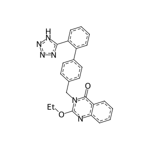 CCOc1nc2ccccc2c(=O)n1Cc1ccc(-c2ccccc2-c2nnn[nH]2)cc1